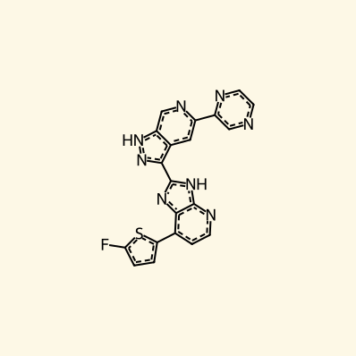 Fc1ccc(-c2ccnc3[nH]c(-c4n[nH]c5cnc(-c6cnccn6)cc45)nc23)s1